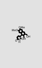 COc1cc2cc(CO)c(CO)c(-c3ccc(=O)[nH]n3)c2cc1OC